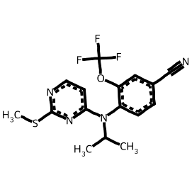 CSc1nccc(N(c2ccc(C#N)cc2OC(F)(F)F)C(C)C)n1